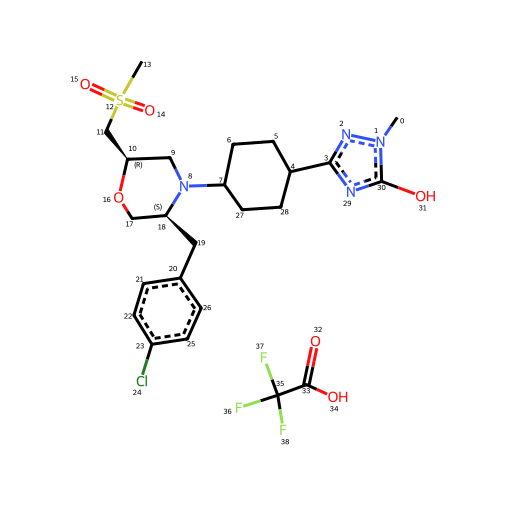 Cn1nc(C2CCC(N3C[C@H](CS(C)(=O)=O)OC[C@@H]3Cc3ccc(Cl)cc3)CC2)nc1O.O=C(O)C(F)(F)F